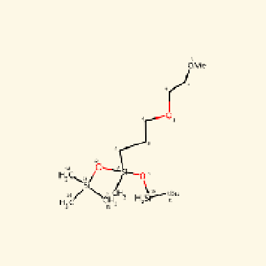 COCCOCCC[Si](C)(O[SiH2]C(C)(C)C)O[Si](C)(C)C